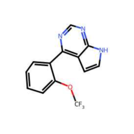 FC(F)(F)Oc1ccccc1-c1ncnc2[nH]ccc12